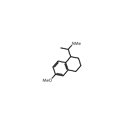 CNC(C)C1CCCc2cc(OC)ccc21